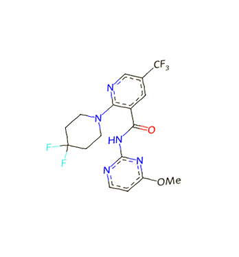 COc1ccnc(NC(=O)c2cc(C(F)(F)F)cnc2N2CCC(F)(F)CC2)n1